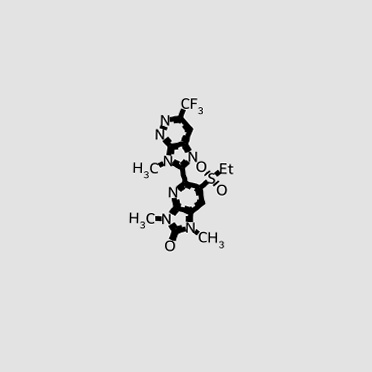 CCS(=O)(=O)c1cc2c(nc1-c1nc3cc(C(F)(F)F)nnc3n1C)n(C)c(=O)n2C